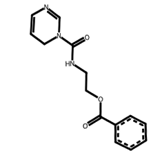 O=C(OCCNC(=O)N1C=NC=CC1)c1ccccc1